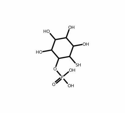 O=P(O)(O)OC1C(O)C(O)C(O)C(O)C1S